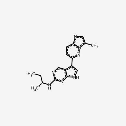 CC[C@H](C)Nc1ncc2c(-c3ccc4ncc(C)n4n3)c[nH]c2n1